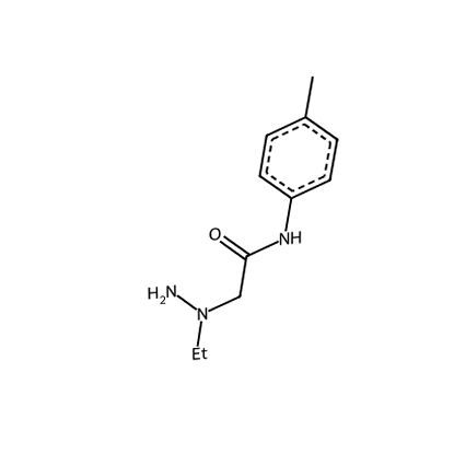 CCN(N)CC(=O)Nc1ccc(C)cc1